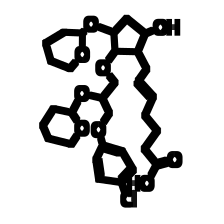 O=C(O)CCC/C=C/CC1C(O)CC(OC2CCCCO2)C1OCC(COc1ccc(Cl)cc1)OC1CCCCO1